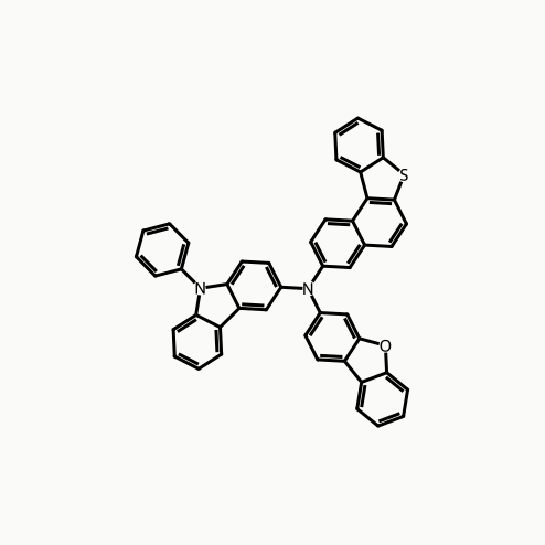 c1ccc(-n2c3ccccc3c3cc(N(c4ccc5c(ccc6sc7ccccc7c65)c4)c4ccc5c(c4)oc4ccccc45)ccc32)cc1